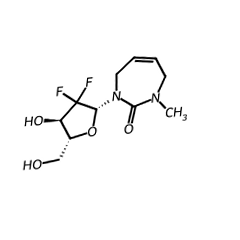 CN1CC=CCN([C@@H]2O[C@H](CO)[C@@H](O)C2(F)F)C1=O